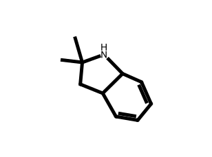 CC1(C)CC2C=CC=CC2N1